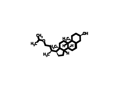 CC(C)OCC[C@@H](C)[C@H]1CC[C@H]2[C@@H]3CC=C4C[C@@H](O)CC[C@]4(C)[C@H]3CC[C@]12C